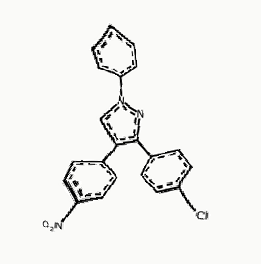 O=[N+]([O-])c1ccc(-c2cn(-c3ccccc3)nc2-c2ccc(Cl)cc2)cc1